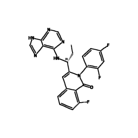 CC[C@@H](Nc1ncnc2[nH]cnc12)c1cc2cccc(F)c2c(=O)n1-c1ccc(F)cc1F